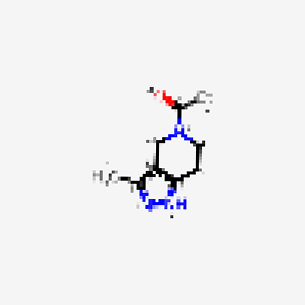 CCC(=O)N1CCc2[nH]nc(C)c2C1